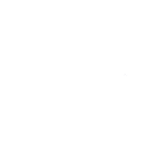 N#Cc1cc(-c2ccc3cc(-c4ccc5c6c(cccc46)-c4ccccc4-5)ccc3c2)cc(-c2ccc3c4c(cccc24)-c2ccccc2-3)c1